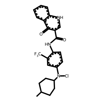 CC1CCC(N(Cl)c2ccc(NC(=O)c3c[nH]c4ccccc4c3=O)c(C(F)(F)F)c2)CC1